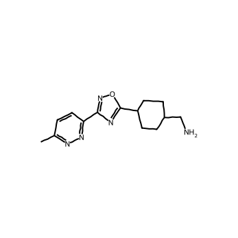 Cc1ccc(-c2noc(C3CCC(CN)CC3)n2)nn1